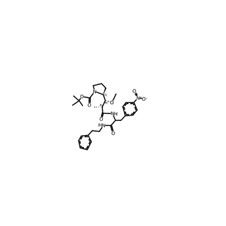 CO[C@H]([C@@H](C)C(=O)NC(Cc1ccc([N+](=O)[O-])cc1)C(=O)NCCc1ccccc1)[C@@H]1CCCN1C(=O)OC(C)(C)C